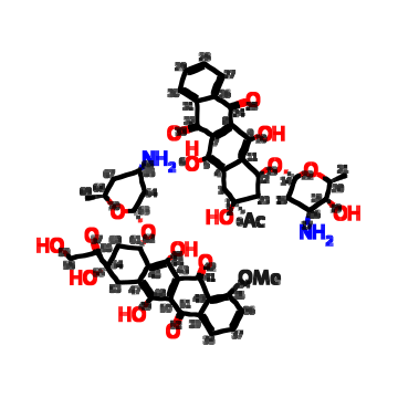 CC(=O)[C@]1(O)Cc2c(O)c3c(c(O)c2[C@@H](O[C@H]2C[C@H](N)[C@H](O)[C@H](C)O2)C1)C(=O)c1ccccc1C3=O.COc1cccc2c1C(=O)c1c(O)c3c(c(O)c1C2=O)C[C@@](O)(C(=O)CO)C[C@@H]3O[C@H]1C[C@H](N)C[C@H](C)O1